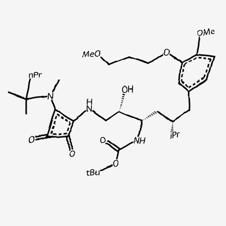 CCCC(C)(C)N(C)c1c(NC[C@H](O)[C@H](C[C@H](Cc2ccc(OC)c(OCCCOC)c2)C(C)C)NC(=O)OC(C)(C)C)c(=O)c1=O